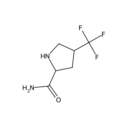 NC(=O)C1CC(C(F)(F)F)CN1